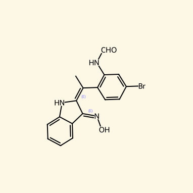 C/C(=C1\Nc2ccccc2\C1=N/O)c1ccc(Br)cc1NC=O